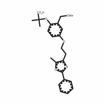 COCc1cc(OCCc2nc(-c3ccccc3)oc2C)ccc1OC(C)(C)C(=O)O